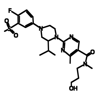 Cc1nc(N2CCN(c3ccc(F)c(S(C)(=O)=O)c3)CC2C(C)C)ncc1C(=O)N(C)CCCO